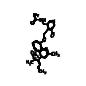 C=C/C=C(/c1cc(C)nc2c(OCc3c(Cl)cncc3CNC(=O)C(C)C)cccc12)N(C)C